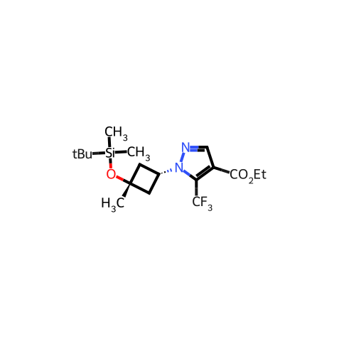 CCOC(=O)c1cnn([C@H]2C[C@@](C)(O[Si](C)(C)C(C)(C)C)C2)c1C(F)(F)F